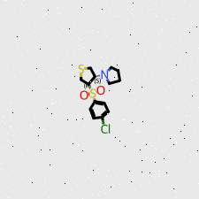 O=S(=O)(c1ccc(Cl)cc1)[C@H]1CSC[C@@H]1N1CCCC1